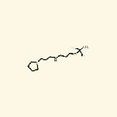 CCC(C)(C)OCCCNCCCN1CCCC1